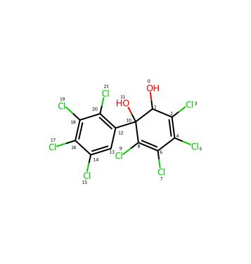 OC1C(Cl)=C(Cl)C(Cl)=C(Cl)C1(O)c1cc(Cl)c(Cl)c(Cl)c1Cl